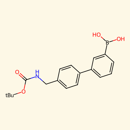 CC(C)(C)OC(=O)NCc1ccc(-c2cccc(B(O)O)c2)cc1